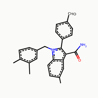 Cc1ccc2c(c1)c(C(N)=O)c(-c1ccc(C=O)cc1)n2Cc1ccc(C)c(C)c1